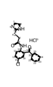 Cl.O=C(CSc1ncc[nH]1)Nc1ccc(Cl)cc1C(=O)c1ccccc1